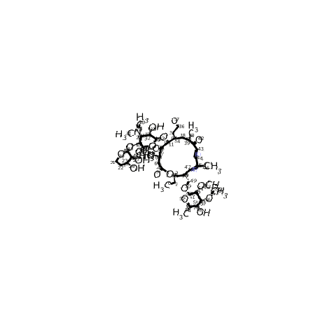 CC[C@H]1OC(=O)C[C@@H](O)[C@H](C)[C@@H](O[C@@H]2O[C@H](C)[C@@H](O[C@@H]3OCC[C@H](O)[C@]3(C)O)[C@H](N(C)C)[C@H]2O)[C@@H](CC=O)C[C@@H](C)C(=O)/C=C/C(C)=C/[C@@H]1CO[C@@H]1O[C@H](C)[C@@H](O)[C@@H](OC)[C@H]1OC